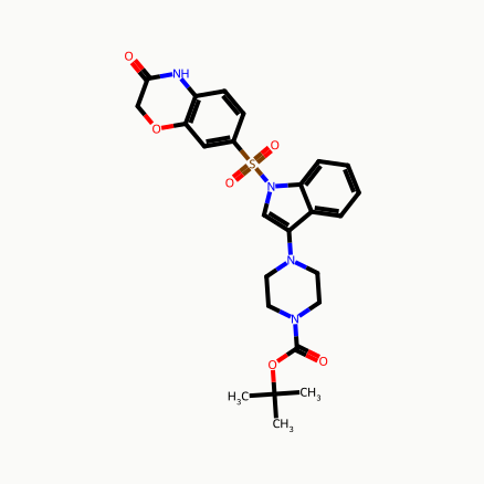 CC(C)(C)OC(=O)N1CCN(c2cn(S(=O)(=O)c3ccc4c(c3)OCC(=O)N4)c3ccccc23)CC1